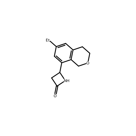 CCc1cc2c(c(C3CC(=O)N3)c1)COCC2